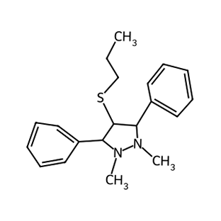 CCCSC1C(c2ccccc2)N(C)N(C)C1c1ccccc1